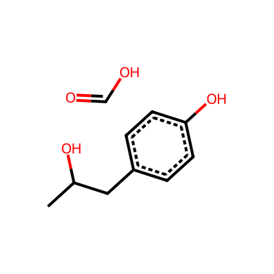 CC(O)Cc1ccc(O)cc1.O=CO